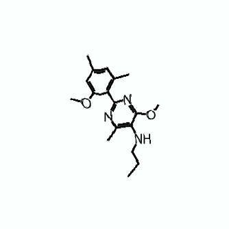 CCCNc1c(C)nc(-c2c(C)cc(C)cc2OC)nc1OC